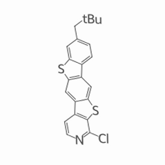 CC(C)(C)Cc1ccc2c(c1)sc1cc3c(cc12)sc1c(Cl)nccc13